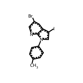 Cc1ccc(-n2cc(I)c3cc(Br)cnc32)cc1